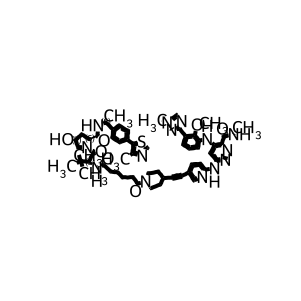 CNC(=O)c1nnc(Nc2ccc(C#CC3CCN(C(=O)CCCCC(=O)N[C@H](C(=O)N4C[C@H](O)C[C@H]4C(=O)N[C@@H](C)c4ccc(-c5scnc5C)cc4)C(C)(C)C)CC3)cn2)cc1Nc1cccc(-c2ncn(C)n2)c1OC